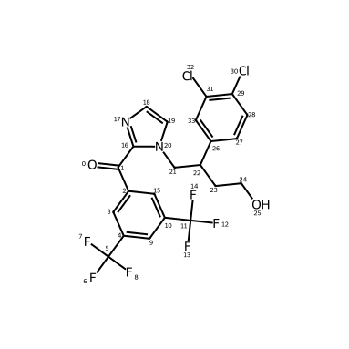 O=C(c1cc(C(F)(F)F)cc(C(F)(F)F)c1)c1nccn1CC(CCO)c1ccc(Cl)c(Cl)c1